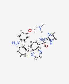 CN(C)CCOc1ccc(N)cc1.O=C(Nc1ncc[nH]1)c1ccc(-c2ccccc2F)c2nccnc12